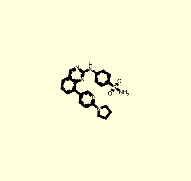 NS(=O)(=O)c1ccc(Nc2ncc3cccc(-c4ccc(N5CCCC5)nc4)c3n2)cc1